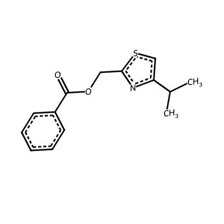 CC(C)c1csc(COC(=O)c2ccccc2)n1